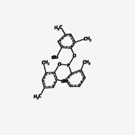 Cc1cc(C)c(OP(Oc2c(C)cc(C)cc2C(C)(C)C)c2ccccc2C)c(C(C)(C)C)c1